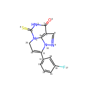 O=c1[nH]c(=S)n2c3c1cnn3C(c1cccc(F)c1)=CC2